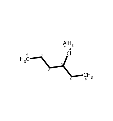 CCCC(Cl)CC.[AlH3]